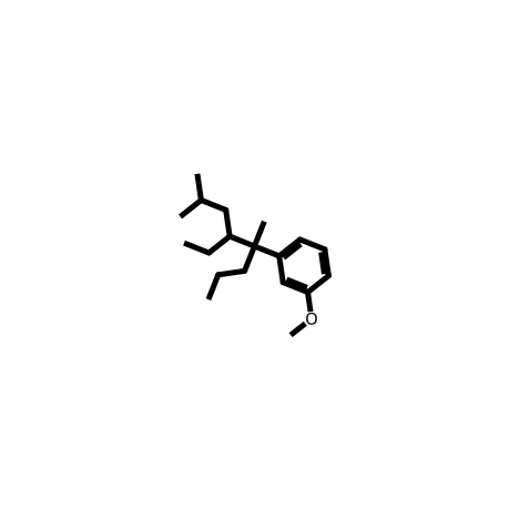 CCCC(C)(c1cccc(OC)c1)C(CC)CC(C)C